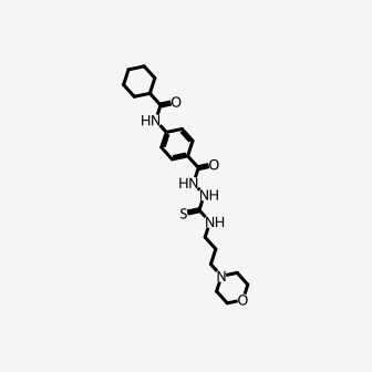 O=C(NNC(=S)NCCCN1CCOCC1)c1ccc(NC(=O)C2CCCCC2)cc1